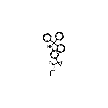 CCOC(=O)C1(c2ccc(NC(c3ccccc3)(c3ccccc3)c3ccccc3)nc2)CC1